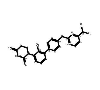 O=C1CCC(c2cccc(-c3ccc(Cc4nccc(C(F)F)n4)cc3)c2Cl)C(=O)N1